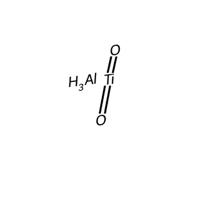 [AlH3].[O]=[Ti]=[O]